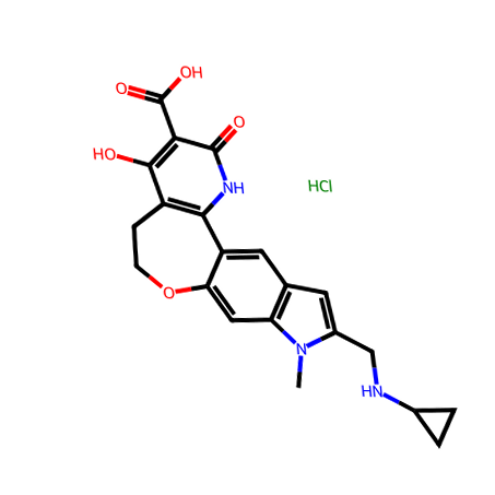 Cl.Cn1c(CNC2CC2)cc2cc3c(cc21)OCCc1c-3[nH]c(=O)c(C(=O)O)c1O